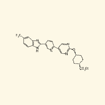 CCOC(=O)[C@H]1CC[C@@H](Oc2ncc(-c3ccc(-c4nc5cc(C(F)(F)F)ccc5[nH]4)cn3)cn2)CC1